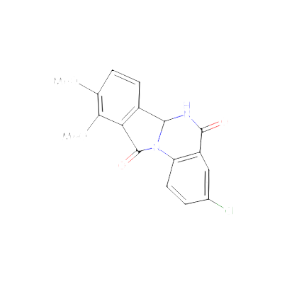 COc1ccc2c(c1OC)C(=O)N1c3ccc(Cl)cc3C(=O)NC21